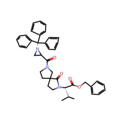 CC(C)[C@@H](C(=O)OCc1ccccc1)N1CCC2(CCN(C(=O)C3C[N@]3C(c3ccccc3)(c3ccccc3)c3ccccc3)C2)C1=O